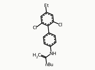 C=C(CCCC)Nc1ccc(-c2c(Cl)cc(CC)cc2Cl)cc1